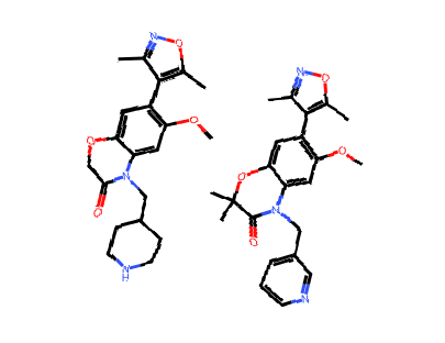 COc1cc2c(cc1-c1c(C)noc1C)OC(C)(C)C(=O)N2Cc1cccnc1.COc1cc2c(cc1-c1c(C)noc1C)OCC(=O)N2CC1CCNCC1